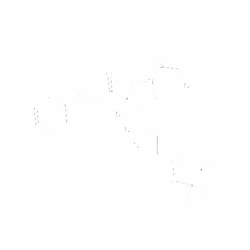 C[C@H](N)C(=O)N1C[C@H](CCCB2OC(C)(C)C(C)(C)O2)C(N=[N+]=[N-])(C(=O)OCc2ccccc2)C1